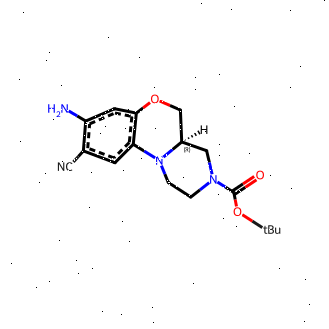 CC(C)(C)OC(=O)N1CCN2c3cc(C#N)c(N)cc3OC[C@H]2C1